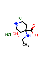 CCNC1(C(=O)O)CCNCC1.Cl.Cl.O